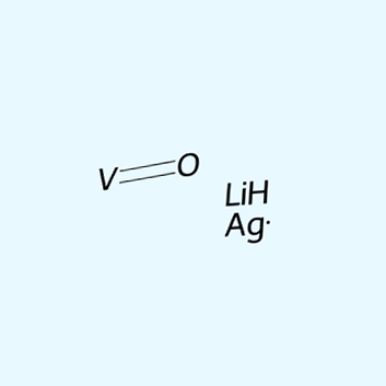 [Ag].[LiH].[O]=[V]